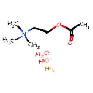 CC(=O)OCC[N+](C)(C)C.O.P.[OH-]